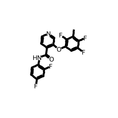 Cc1c(F)c(F)cc(Oc2cnccc2C(=O)Nc2ccc(F)cc2F)c1F